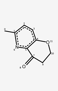 Cc1ccc2c(n1)C(=O)CCO2